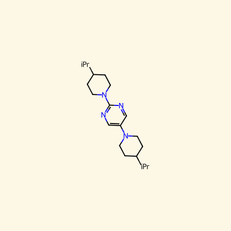 CC(C)C1CCN(c2cnc(N3CCC(C(C)C)CC3)nc2)CC1